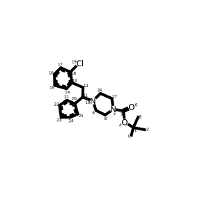 CC(C)(C)OC(=O)N1CCN(C(Cc2ccccc2Cl)c2ccccc2)CC1